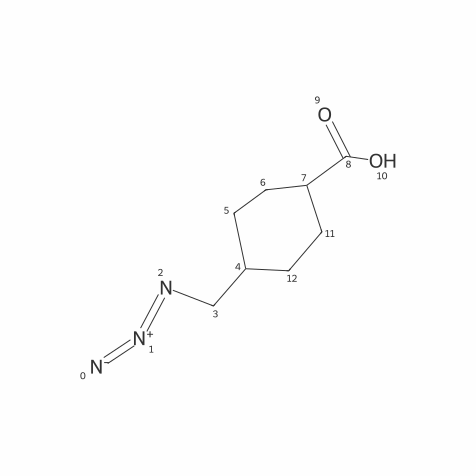 [N-]=[N+]=NCC1CCC(C(=O)O)CC1